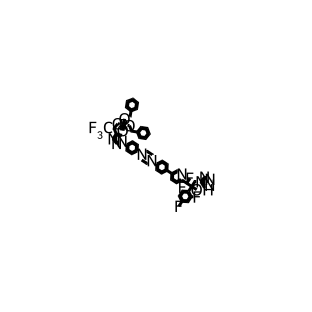 O=P(OCc1ccccc1)(OCc1ccccc1)OC(c1cn(-c2ccc(N3CCN(c4ccc(-c5ccc(C(F)(F)C(O)(Cn6cnnn6)c6ccc(F)cc6F)nc5)cc4)CC3)cc2)nn1)C(F)(F)F